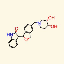 O=C1Nc2ccccc2/C1=C1\OCc2cc(CN3CC[C@H](O)[C@H](O)C3)ccc21